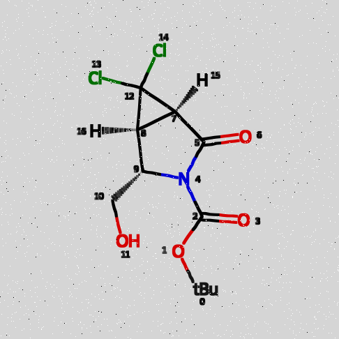 CC(C)(C)OC(=O)N1C(=O)[C@H]2[C@@H]([C@H]1CO)C2(Cl)Cl